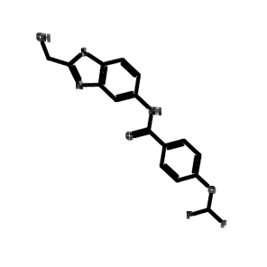 O=C(Nc1ccc2sc(CO)nc2c1)c1ccc(OC(F)F)cc1